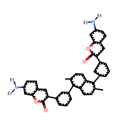 CCN(CC)c1ccc2cc(-c3cccc(-c4c(C)ccc5c(-c6cccc(-c7cc8ccc(N(CC)CC)cc8oc7=O)c6)c(C)ccc45)c3)c(=O)oc2c1